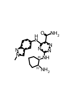 Cn1cc2cc(Nc3nc(N[C@@H]4CCCC[C@@H]4N)nnc3C(N)=O)ccc2n1